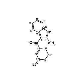 CCN1C=C(C(=O)c2c(C)nn3ccccc23)CCC1